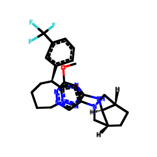 COc1cc(N2C[C@H]3CC[C@@H](C2)[C@@H]3Nc2nc3n(n2)CCCC[C@H]3c2cccc(C(F)(F)F)c2)cnn1